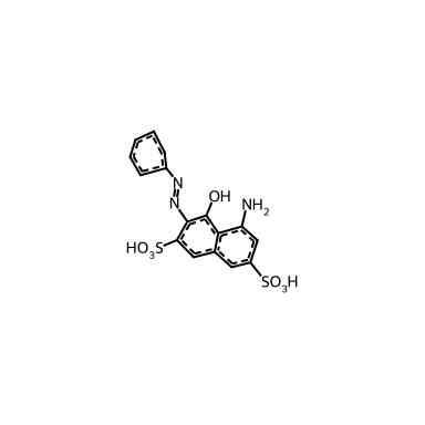 Nc1cc(S(=O)(=O)O)cc2cc(S(=O)(=O)O)c(/N=N/c3ccccc3)c(O)c12